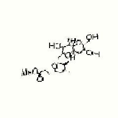 C=C1[C@H](C)C[C@H](CCC(=O)OC)O[C@@H]1C[C@@H]1O[C@H]2C[C@@H](O)[C@@H](CO)O[C@H]2[C@H](C)[C@H]1O